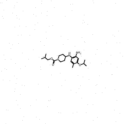 Cc1cc(NC2CCN(C(=O)OCC(C)C)CC2)c(N)cc1OC(C)C